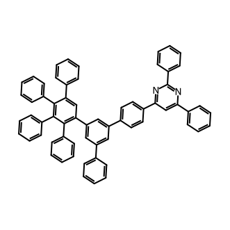 c1ccc(-c2cc(-c3ccc(-c4cc(-c5ccccc5)nc(-c5ccccc5)n4)cc3)cc(-c3cc(-c4ccccc4)c(-c4ccccc4)c(-c4ccccc4)c3-c3ccccc3)c2)cc1